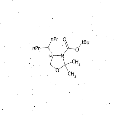 CCCC(CCC)[C@H]1COC(C)(C)N1C(=O)OC(C)(C)C